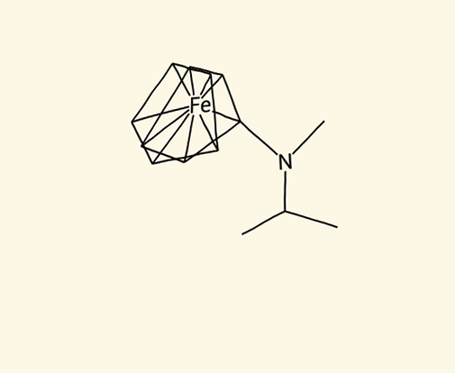 CC(C)N(C)[C]12[CH]3[CH]4[CH]5[CH]1[Fe]45321678[CH]2[CH]1[CH]6[CH]7[CH]28